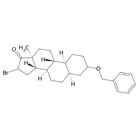 C[C@]12CC[C@H]3[C@@H](CC[C@@H]4CC(OCc5ccccc5)CC[C@@H]43)[C@@H]1CC(Br)C2=O